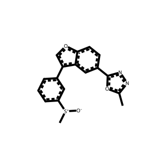 Cc1nnc(-c2ccc3occ(-c4cccc([S+](C)[O-])c4)c3c2)o1